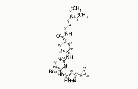 CCN(CC)CCCNC(=O)c1ccc(Nc2ncc(Br)c(Nc3cc(C4CC4)n[nH]3)n2)cc1